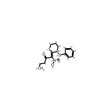 CCCC(=O)C(=C1SCCCN1Sc1ccccc1)[N+](=O)[O-]